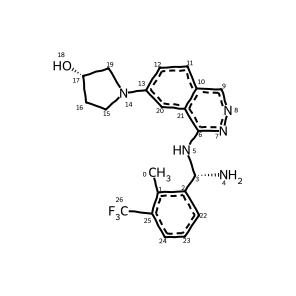 Cc1c([C@@H](N)Nc2nncc3ccc(N4CC[C@H](O)C4)cc23)cccc1C(F)(F)F